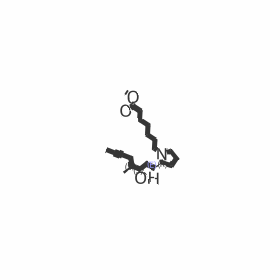 CC#CC[C@H](C)[C@H](O)/C=C/[C@H]1CCCN1CCCCCCC(=O)OC